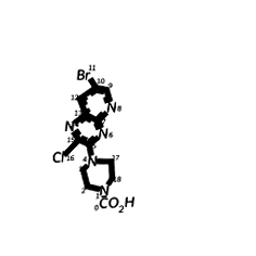 O=C(O)N1CCN(c2nc3ncc(Br)cc3nc2Cl)CC1